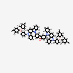 Cc1cc(C)c(B(c2cccc(-n3c4ccccc4c4c3ccc3c5ccccc5n(-c5ccc6oc7ccc(-n8c9ccccc9c9ccc%10c(c%11ccccc%11n%10-c%10cccc(B(c%11c(C)cc(C)cc%11C)c%11c(C)cc(C)cc%11C)c%10)c98)cc7c6c5)c34)c2)c2ccc(C)c(C)c2)c(C)c1